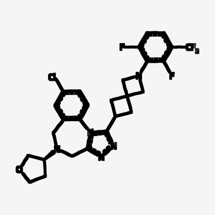 Fc1ccc(C(F)(F)F)c(F)c1N1CC2(CC(c3nnc4n3-c3ccc(Cl)cc3CN([C@H]3CCOC3)C4)C2)C1